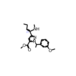 CC/C=C(\NC)c1cc(C(=O)OC)n(C(C)c2cccc(OC)c2)n1